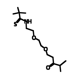 CC(C)C(=O)CCOCCOCCNC(=S)C(C)(C)C